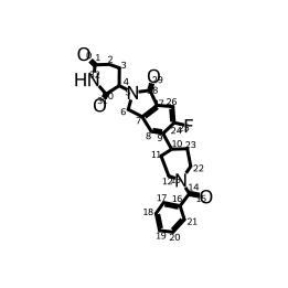 O=C1CCC(N2Cc3cc(C4CCN(C(=O)c5ccccc5)CC4)c(F)cc3C2=O)C(=O)N1